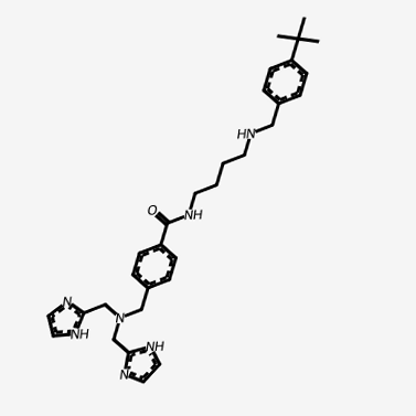 CC(C)(C)c1ccc(CNCCCCNC(=O)c2ccc(CN(Cc3ncc[nH]3)Cc3ncc[nH]3)cc2)cc1